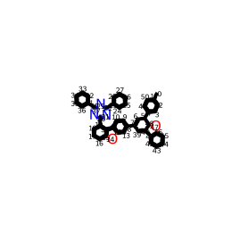 Cc1ccc(C2C=C(c3ccc4c(c3)oc3cccc(-c5nc(-c6ccccc6)nc(-c6ccccc6)n5)c34)C=C3c4ccccc4OC32)cc1